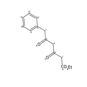 CCOC(=O)CC(=O)CC(=O)Cc1ccccc1